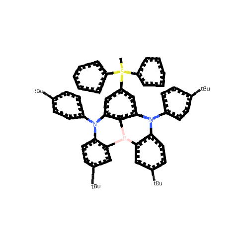 CC(C)(C)c1ccc(N2c3ccc(C(C)(C)C)cc3B3c4cc(C(C)(C)C)ccc4N(c4ccc(C(C)(C)C)cc4)c4cc(S(C)(c5ccccc5)c5ccccc5)cc2c43)cc1